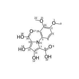 COc1ccc(-n2c(C(=O)O)c(O)c(O)c2C(=O)O)cc1OC